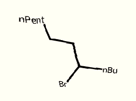 C[CH][CH]CC(Br)CCCCCCC